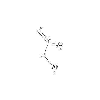 C=C[CH2][Al].O